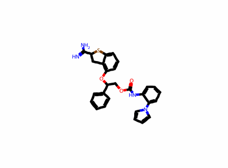 N=C(N)C1Cc2c(OC(COC(=O)Nc3ccccc3-n3cccc3)c3ccccc3)cccc2S1